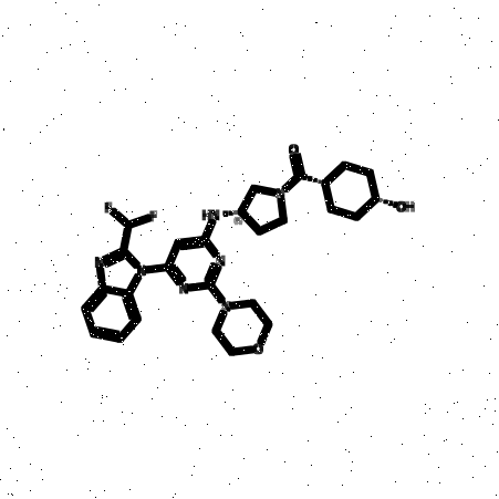 O=C([C@H]1CC[C@@H](O)CC1)N1CC[C@H](Nc2cc(-n3c(C(F)F)nc4ccccc43)nc(N3CCOCC3)n2)C1